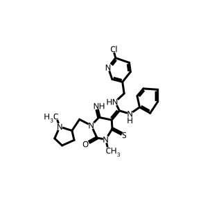 CN1C(=O)N(CC2CCCN2C)C(=N)/C(=C(\NCc2ccc(Cl)nc2)Nc2ccccc2)C1=S